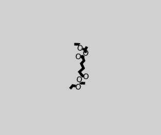 CCOC(C)OC(=O)CCCCC(=O)OC(C)OCC